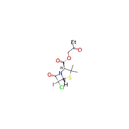 CCC(=O)COC(=O)[C@@H]1N2C(=O)C(Cl)(I)[C@H]2SC1(C)C